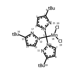 CC(C)(C)c1ccn([C](n2ccc(C(C)(C)C)n2)(n2ccc(C(C)(C)C)n2)[Mn]([Cl])[Cl])n1